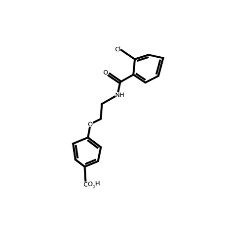 O=C(O)c1ccc(OCCNC(=O)c2ccccc2Cl)cc1